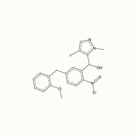 COc1ccccc1Cc1ccc([N+](=O)[O-])c(C(O)c2c(I)cnn2C)c1